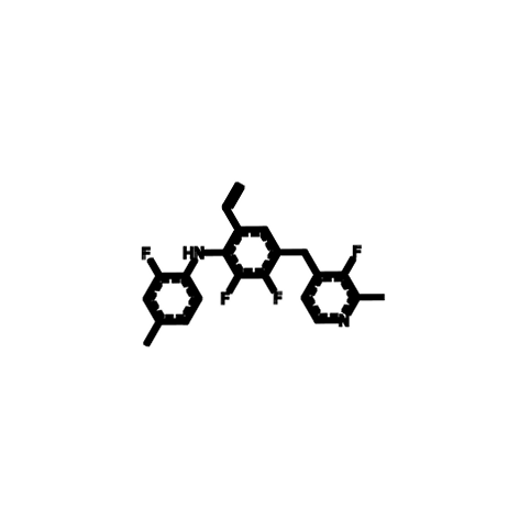 C=Cc1cc(Cc2ccnc(C)c2F)c(F)c(F)c1Nc1ccc(C)cc1F